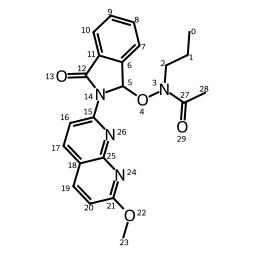 CCCN(OC1c2ccccc2C(=O)N1c1ccc2ccc(OC)nc2n1)C(C)=O